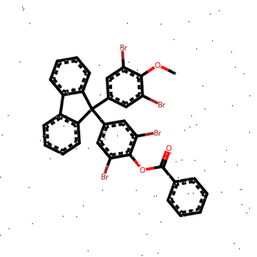 COc1c(Br)cc(C2(c3cc(Br)c(OC(=O)c4ccccc4)c(Br)c3)c3ccccc3-c3ccccc32)cc1Br